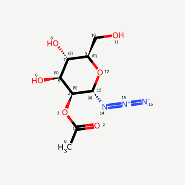 CC(=O)O[C@H]1[C@@H](O)[C@H](O)[C@@H](CO)O[C@@H]1N=[N+]=[N-]